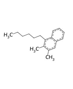 CCCCCCc1c(C)c(C)cc2ccccc12